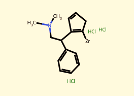 CN(C)CC(C1=[C]([Zr])CC=C1)c1ccccc1.Cl.Cl.Cl